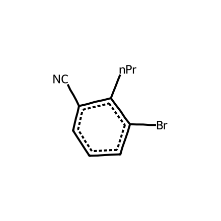 CCCc1c(Br)cccc1C#N